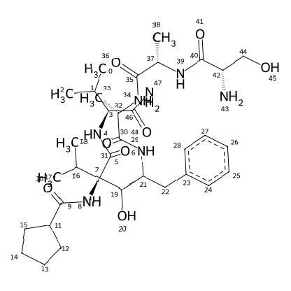 CC(C)[C@H](NC(=O)[C@@](NC(=O)C1CCCC1)(C(C)C)C(O)C(Cc1ccccc1)NC(=O)[C@H](C)NC(=O)[C@H](C)NC(=O)[C@@H](N)CO)C(N)=O